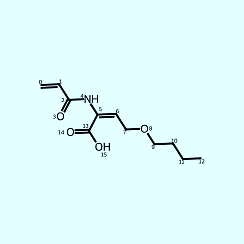 C=CC(=O)NC(=CCOCCCC)C(=O)O